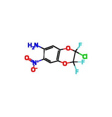 Nc1cc2c(cc1[N+](=O)[O-])OC(F)(F)C(F)(Cl)O2